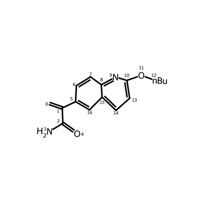 C=C(C(N)=O)c1ccc2nc(OCCCC)ccc2c1